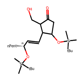 CCCCC[C@H](C=CC1C(O[Si](C)(C)C(C)(C)C)CC(=O)C1CO)O[Si](C)(C)C(C)(C)C